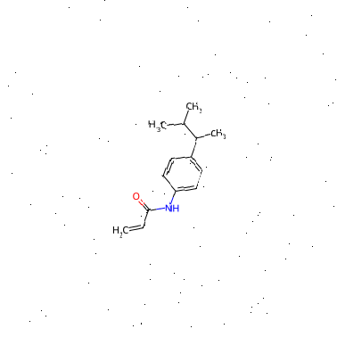 C=CC(=O)Nc1ccc(C(C)C(C)C)cc1